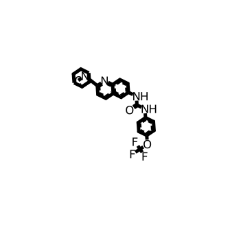 O=C(Nc1ccc(OC(F)(F)F)cc1)Nc1ccc2nc(N3CC4CCC3CC4)ccc2c1